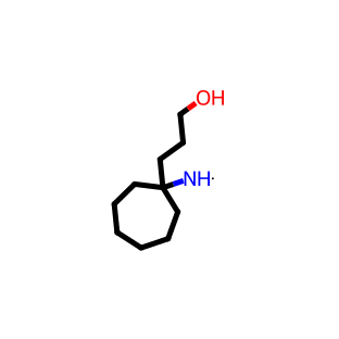 [NH]C1(CCCO)CCCCCC1